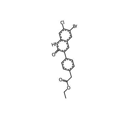 CCOC(=O)Cc1ccc(-c2cc3cc(Br)c(Cl)cc3[nH]c2=O)cc1